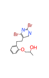 CC(O)COc1ccccc1CCc1cnc(Br)nc1Br